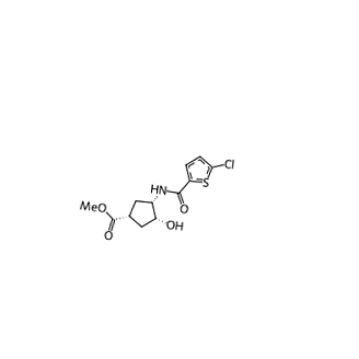 COC(=O)[C@H]1C[C@@H](O)[C@@H](NC(=O)c2ccc(Cl)s2)C1